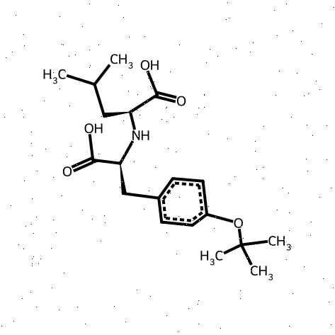 CC(C)C[C@H](N[C@@H](Cc1ccc(OC(C)(C)C)cc1)C(=O)O)C(=O)O